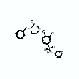 CC[C@H]1C[C@H](Oc2ccc(S(=O)(=O)Nc3cscn3)cc2Cl)CCN1Cc1ccccc1